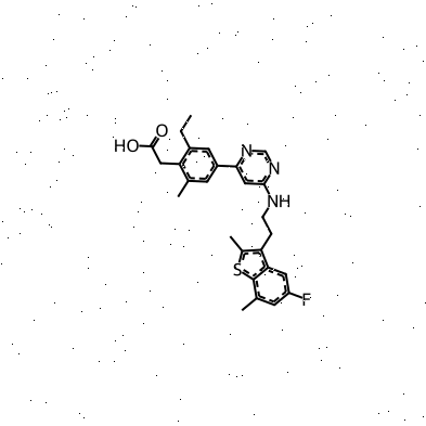 CCc1cc(-c2cc(NCCc3c(C)sc4c(C)cc(F)cc34)ncn2)cc(C)c1CC(=O)O